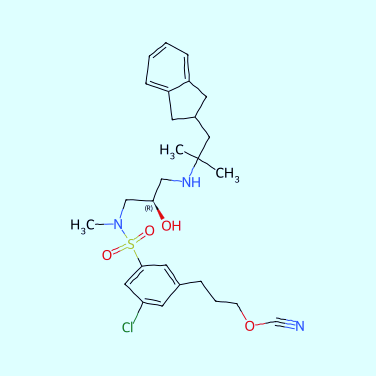 CN(C[C@H](O)CNC(C)(C)CC1Cc2ccccc2C1)S(=O)(=O)c1cc(Cl)cc(CCCOC#N)c1